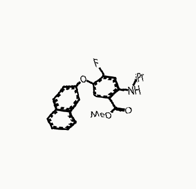 COC(=O)c1cc(Oc2ccc3ccccc3c2)c(F)cc1NC(C)C